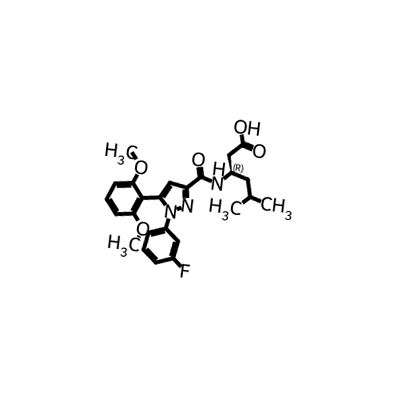 COc1cccc(OC)c1-c1cc(C(=O)N[C@@H](CC(=O)O)CC(C)C)nn1-c1cccc(F)c1